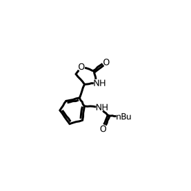 CCCCC(=O)Nc1ccccc1C1COC(=O)N1